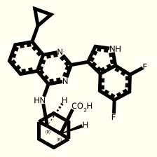 O=C(O)[C@@H]1C2CCC(CC2)[C@H]1Nc1nc(-c2c[nH]c3c(F)cc(F)cc23)nc2c(C3CC3)cccc12